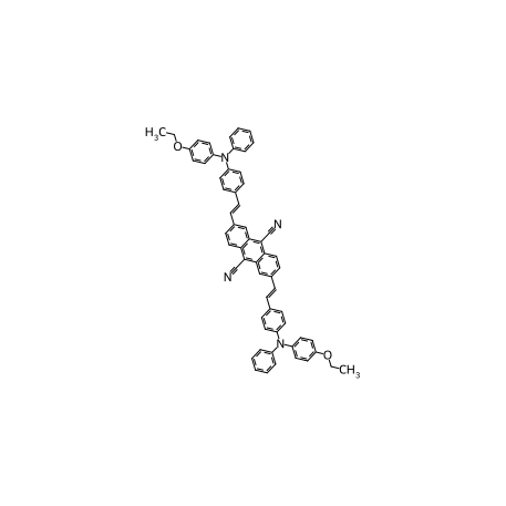 CCOc1ccc(N(c2ccccc2)c2ccc(C=Cc3ccc4c(C#N)c5cc(C=Cc6ccc(N(c7ccccc7)c7ccc(OCC)cc7)cc6)ccc5c(C#N)c4c3)cc2)cc1